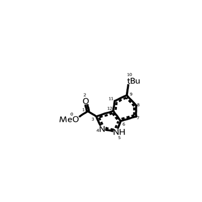 COC(=O)c1n[nH]c2ccc(C(C)(C)C)cc12